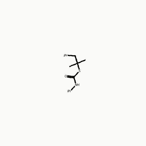 CC(C)CC(C)(C)SC(=O)NC(C)C